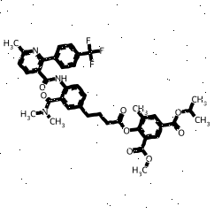 COC(=O)c1cc(C(=O)OC(C)C)cc(C)c1OC(=O)CCCc1ccc(NC(=O)c2ccc(C)nc2-c2ccc(C(F)(F)F)cc2)c(C(=O)N(C)C)c1